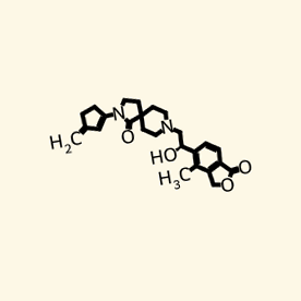 C=C1C=C(N2CCC3(CCN(C[C@H](O)c4ccc5c(c4C)COC5=O)CC3)C2=O)CC1